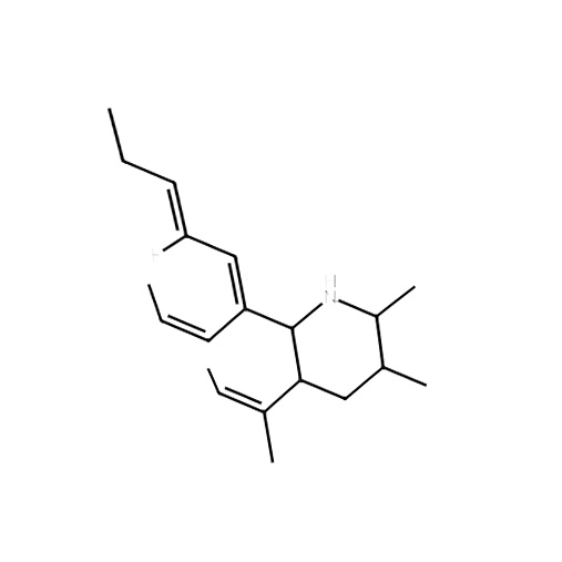 C\C=C/C(=C\C(F)=C\CC)C1NC(C)C(C)CC1/C(C)=C\C